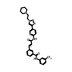 O=C(/C=C/c1cccc(C(=O)Nc2cccc(C(F)(F)F)c2)c1)Nc1ccc(-c2cn(CCN3CCCCC3)nn2)cn1